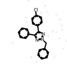 Clc1ccc(-c2nn(Cc3ccccc3)nc2-c2ccccc2)cc1